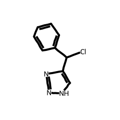 ClC(c1ccccc1)c1c[nH]nn1